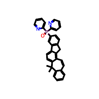 CC1(C)c2ccccc2C=Cc2c1ccc1c2Cc2ccc(P(=O)(c3ccccn3)c3ccccn3)cc2-1